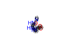 O=C(CCN1CCCCC1)Nc1ccc(Nc2nc3cccc(-c4ccc5c(c4)OCCO5)n3n2)cc1